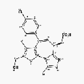 Cc1c(CO)sc2c1C(c1ccc(Cl)cc1)=N[C@@H](CC(=O)O)c1nnc(C)n1-2